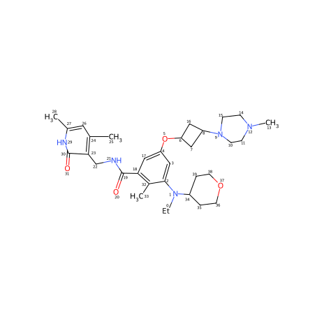 CCN(c1cc(OC2CC(N3CCN(C)CC3)C2)cc(C(=O)NCc2c(C)cc(C)[nH]c2=O)c1C)C1CCOCC1